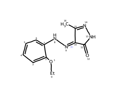 CCOc1ccccc1N/N=C1/C(=O)NN=C1C